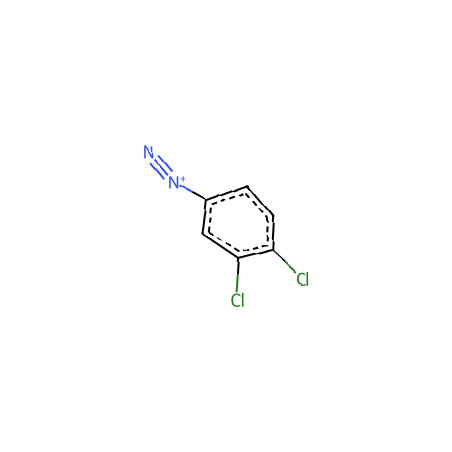 N#[N+]c1ccc(Cl)c(Cl)c1